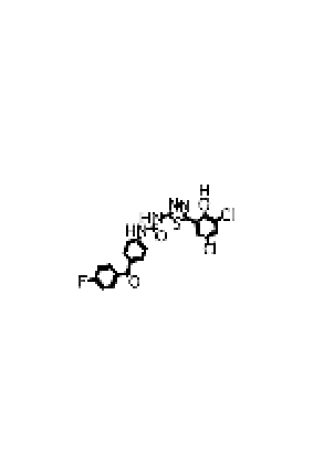 O=C(Nc1ccc(C(=O)c2ccc(F)cc2)cc1)Nc1nnc(-c2cc(Cl)cc(Cl)c2O)s1